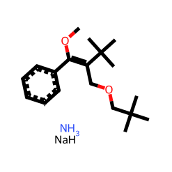 COC(=C(COCC(C)(C)C)C(C)(C)C)c1c[c]ccc1.N.[NaH]